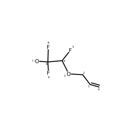 C=CCOC(F)C([O])(F)F